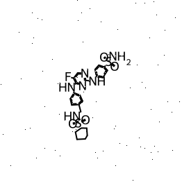 NS(=O)(=O)c1ccc(Nc2ncc(F)c(Nc3ccc(CNS(=O)(=O)C4CCCCC4)cc3)n2)cc1